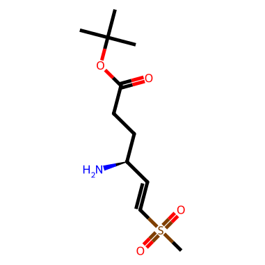 CC(C)(C)OC(=O)CC[C@H](N)/C=C/S(C)(=O)=O